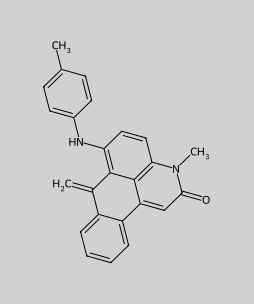 C=c1c2ccccc2c2cc(=O)n(C)c3ccc(Nc4ccc(C)cc4)c1c23